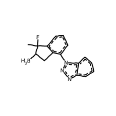 BC1Cc2c(-n3nnc4ccccc43)cccc2C1(C)F